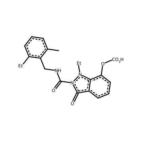 CCc1cccc(C)c1CNC(=O)n1c(=O)c2cccc(OC(=O)O)c2n1CC